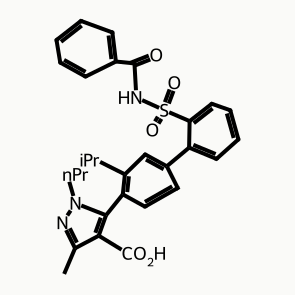 CCCn1nc(C)c(C(=O)O)c1-c1ccc(-c2ccccc2S(=O)(=O)NC(=O)c2ccccc2)cc1C(C)C